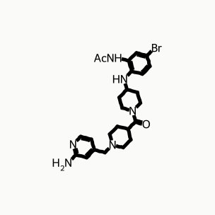 CC(=O)Nc1cc(Br)ccc1NC1CCN(C(=O)C2CCN(Cc3ccnc(N)c3)CC2)CC1